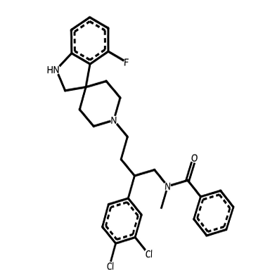 CN(CC(CCN1CCC2(CC1)CNc1cccc(F)c12)c1ccc(Cl)c(Cl)c1)C(=O)c1ccccc1